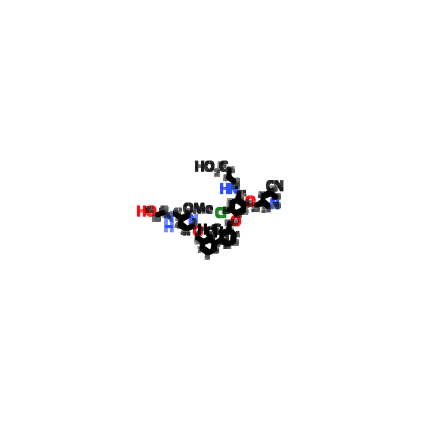 COc1nc(OCc2cccc(-c3cccc(COc4cc(OCc5cncc(C#N)c5)c(CNCCCC(=O)O)cc4Cl)c3C)c2C)ccc1CNCCO